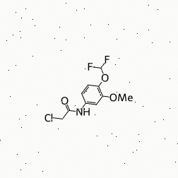 COc1cc(NC(=O)CCl)ccc1OC(F)F